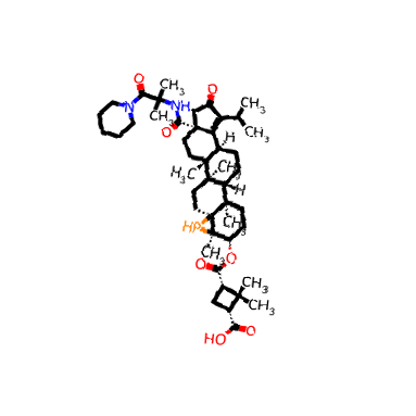 CC(C)C1=C2[C@H]3CC[C@@H]4[C@@]5(C)CC[C@H](OC(=O)[C@H]6C[C@@H](C(=O)O)C6(C)C)[C@@]6(C)P[C@@]56CC[C@@]4(C)[C@]3(C)CC[C@@]2(C(=O)NC(C)(C)C(=O)N2CCCCC2)CC1=O